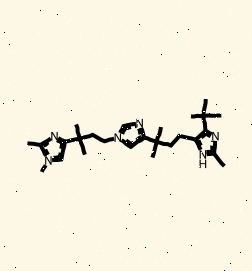 Cc1nc(C(C)(C)C)c(CCC(C)(C)c2cn(CCC(C)(C)c3cn(C)c(C)n3)cn2)[nH]1